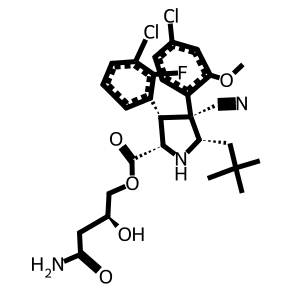 COc1cc(Cl)ccc1[C@@]1(C#N)[C@H](CC(C)(C)C)N[C@H](C(=O)OC[C@@H](O)CC(N)=O)[C@@H]1c1cccc(Cl)c1F